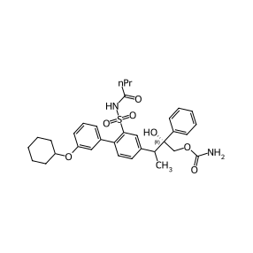 CCCC(=O)NS(=O)(=O)c1cc(C(C)[C@](O)(COC(N)=O)c2ccccc2)ccc1-c1cccc(OC2CCCCC2)c1